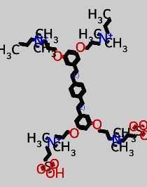 CCCC[N+](C)(C)CCCOc1cc(/C=C/c2ccc(/C=C/c3cc(OCCC[N+](C)(C)CCCS(=O)(=O)O)cc(OCCC[N+](C)(C)CCCS(=O)(=O)O)c3)cc2)cc(OCCC[N+](C)(C)CCCC)c1